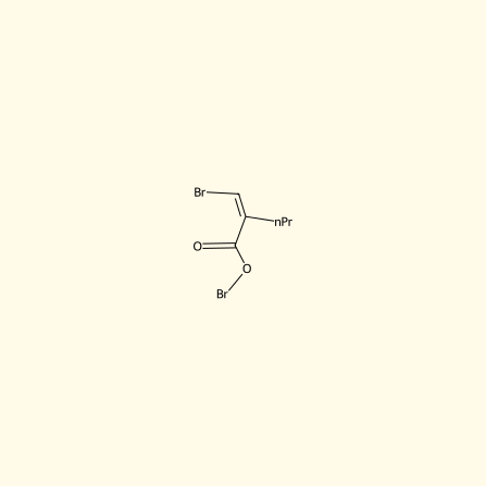 CCCC(=CBr)C(=O)OBr